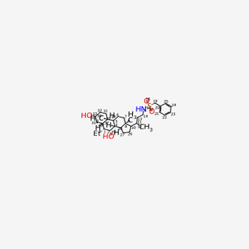 CC[C@H]1[C@@H](O)[C@@H]2[C@H](CC[C@]3(C)C([C@H](C)CCNS(=O)(=O)Cc4ccccc4)CC[C@@H]23)[C@@]2(C)CC[C@@H](O)C[C@@H]12